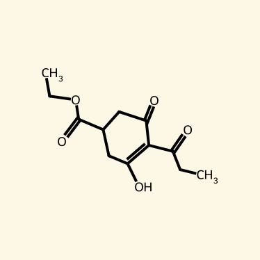 CCOC(=O)C1CC(=O)C(C(=O)CC)=C(O)C1